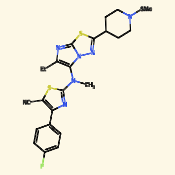 CCc1nc2sc(C3CCN(SC)CC3)nn2c1N(C)c1nc(-c2ccc(F)cc2)c(C#N)s1